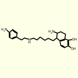 Nc1ccc(CCNCCCCCCC2c3ccc(O)c(O)c3CCC2N)cc1